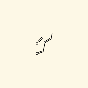 C=O.CC=CC=O